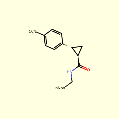 CCCCCCCCCCNC(=O)[C@@H]1C[C@H]1c1ccc([N+](=O)[O-])cc1